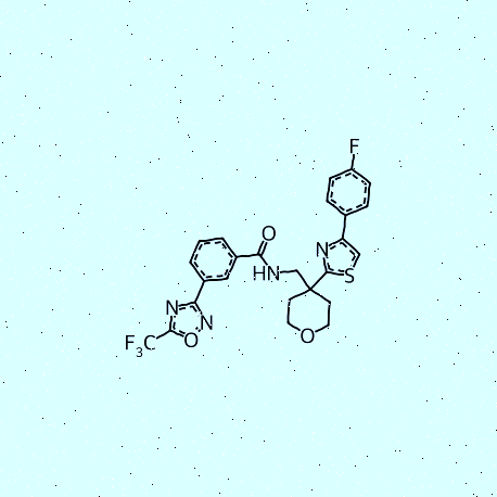 O=C(NCC1(c2nc(-c3ccc(F)cc3)cs2)CCOCC1)c1cccc(-c2noc(C(F)(F)F)n2)c1